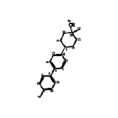 Cc1ccc(-c2ccc([C@H]3CC[C@@](C)(C#N)CC3)cc2)cc1